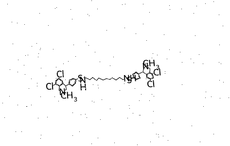 CN1Cc2c(Cl)cc(Cl)cc2C(c2ccc(SNCCCCCCCCCCCCNSc3ccc(C4CN(C)Cc5c(Cl)cc(Cl)cc54)cc3)cc2)C1